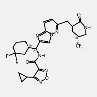 O=C(N[C@H](c1cn2nc(CC3C[C@@H](C(F)(F)F)CNC3=O)ccc2n1)[C@@H]1CCCC(F)(F)C1)c1nonc1C1CC1